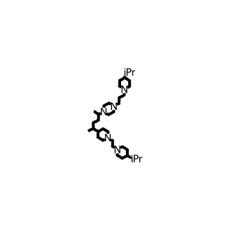 CC(C)C1CCN(CCCN2CCN(C(C)CCC(C)C3CCN(CCN4CCC(C(C)C)CC4)CC3)CC2)CC1